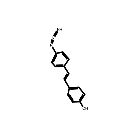 N=[N+]=Nc1ccc(/C=C/c2ccc(O)cc2)cc1